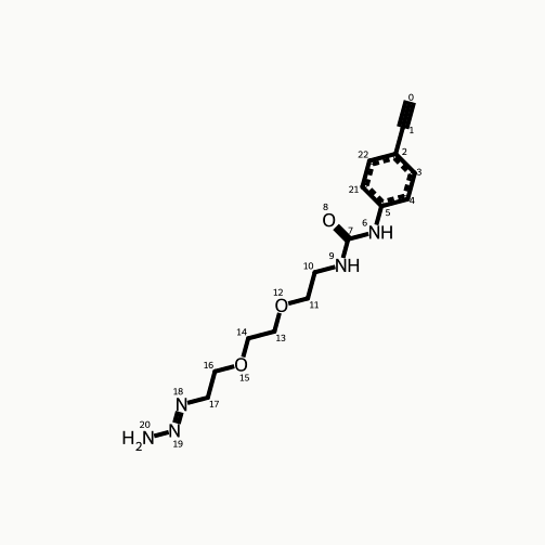 C#Cc1ccc(NC(=O)NCCOCCOCCN=NN)cc1